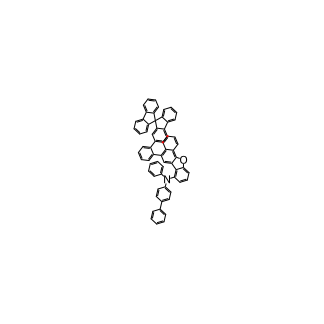 c1ccc(-c2ccc(N(c3ccccc3)c3cccc4oc5c6ccccc6c(-c6ccccc6-c6ccc7c(c6)C6(c8ccccc8-c8ccccc86)c6ccccc6-7)cc5c34)cc2)cc1